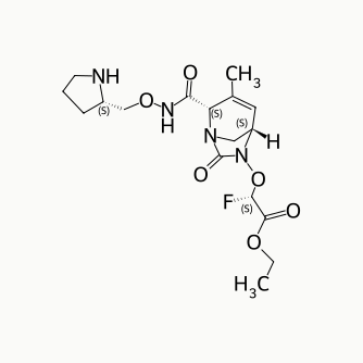 CCOC(=O)[C@H](F)ON1C(=O)N2C[C@@H]1C=C(C)[C@H]2C(=O)NOC[C@@H]1CCCN1